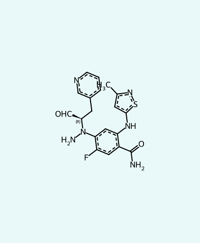 Cc1cc(Nc2cc(N(N)[C@@H](C=O)Cc3cccnc3)c(F)cc2C(N)=O)sn1